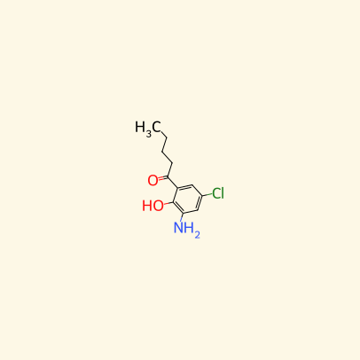 CCCCC(=O)c1cc(Cl)cc(N)c1O